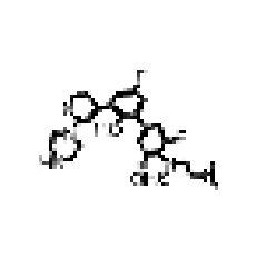 CN(C)CCN(C=O)c1c(F)cc(-c2cc(F)cc(-c3ccnc(N4CCNCC4)c3)c2O)cc1F